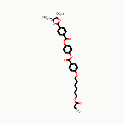 C=CC(=O)OCCCCCCOc1ccc(C(=O)Oc2ccc(OC(=O)c3ccc(C4O[C@@H](C(=O)OCC)[C@H](C(=O)OCC)O4)cc3)cc2)cc1